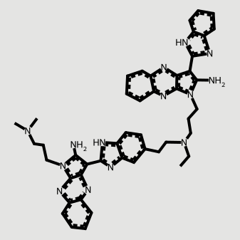 CCN(CCCn1c(N)c(-c2nc3ccccc3[nH]2)c2nc3ccccc3nc21)CCc1ccc2[nH]c(-c3c(N)n(CCCN(C)C)c4nc5ccccc5nc34)nc2c1